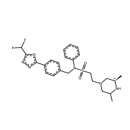 CC1CN(CCS(=O)(=O)N(Cc2ccc(-c3nnc(C(F)F)o3)cc2)c2ccccc2)C[C@@H](C)N1